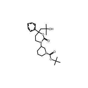 CC(C)(O)CC1(c2ccccc2)CCN(C2CCCN(C(=O)OC(C)(C)C)C2)C(=O)O1